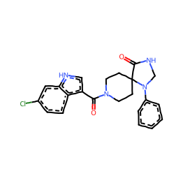 O=C(c1c[nH]c2cc(Cl)ccc12)N1CCC2(CC1)C(=O)NCN2c1ccccc1